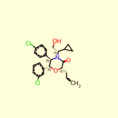 C=CC[C@@H]1O[C@H](c2cccc(Cl)c2)[C@@H](c2ccc(Cl)cc2)N([C@H](CO)C2CC2)C1=O